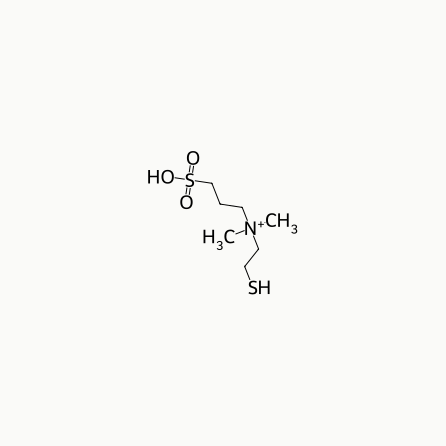 C[N+](C)(CCS)CCCS(=O)(=O)O